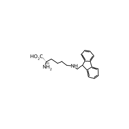 N[C@@H](CCCCNCC1c2ccccc2-c2ccccc21)C(=O)O